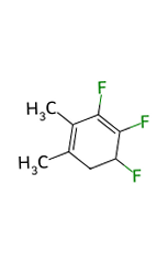 CC1=C(C)C(F)=C(F)C(F)C1